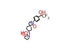 O=C1CCCN1C[C@]1(O)CC[C@]2(CCN(c3ccc([C@@H](O)C(F)(F)F)cc3)C2=O)CC1